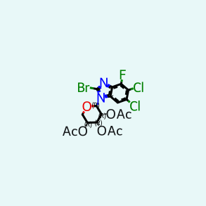 CC(=O)O[C@@H]1[C@H](OC(C)=O)[C@H](OC(C)=O)CO[C@H]1n1c(Br)nc2c(F)c(Cl)c(Cl)cc21